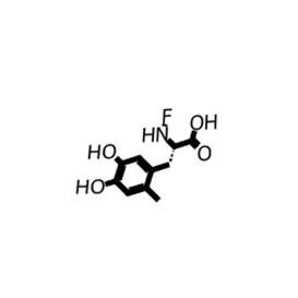 Cc1cc(O)c(O)cc1C[C@H](NF)C(=O)O